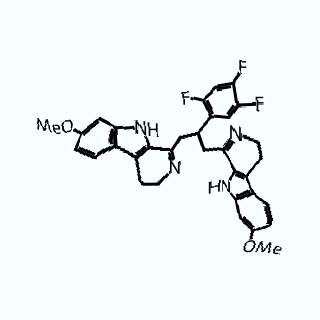 COc1ccc2c3c([nH]c2c1)C(CC(CC1=NCCc2c1[nH]c1cc(OC)ccc21)c1cc(F)c(F)cc1F)=NCC3